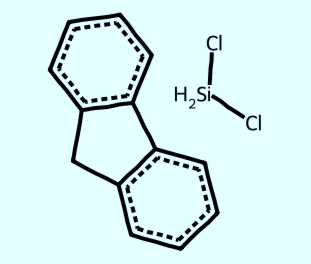 Cl[SiH2]Cl.c1ccc2c(c1)Cc1ccccc1-2